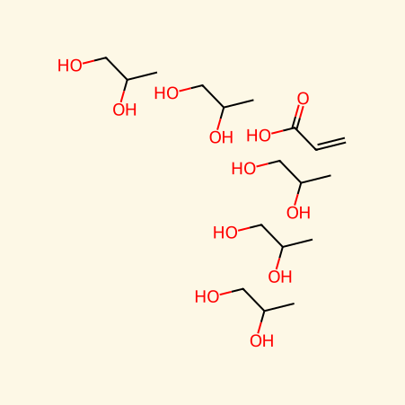 C=CC(=O)O.CC(O)CO.CC(O)CO.CC(O)CO.CC(O)CO.CC(O)CO